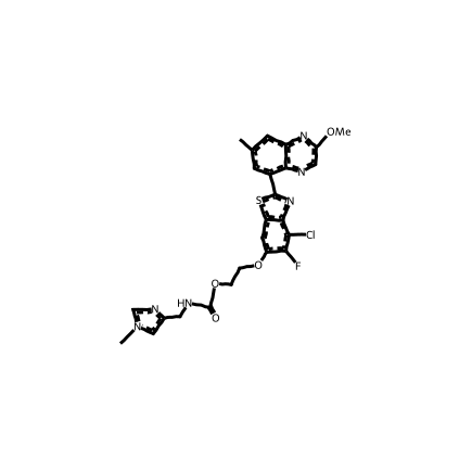 COc1cnc2c(-c3nc4c(Cl)c(F)c(OCCOC(=O)NCc5cn(C)cn5)cc4s3)cc(C)cc2n1